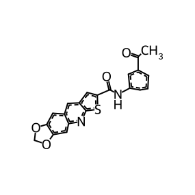 CC(=O)c1cccc(NC(=O)c2cc3cc4cc5c(cc4nc3s2)OCO5)c1